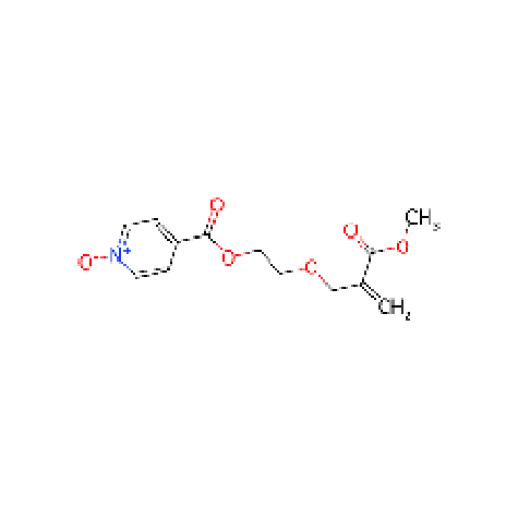 C=C(COCCOC(=O)c1cc[n+]([O-])cc1)C(=O)OC